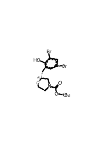 CC(C)(C)OC(=O)N1CCO[C@H](Cc2cc(Br)cc(Br)c2O)C1